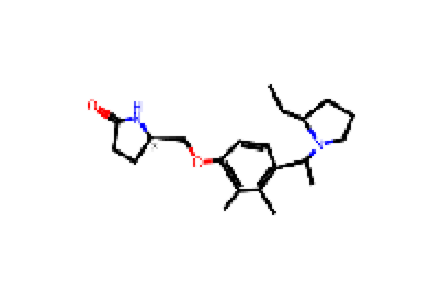 CCC1CCCN1C(C)c1ccc(OC[C@H]2CCC(=O)N2)c(C)c1C